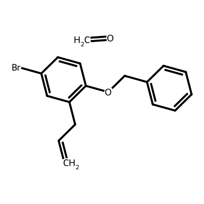 C=CCc1cc(Br)ccc1OCc1ccccc1.C=O